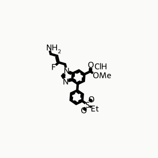 CCS(=O)(=O)c1cccc(-c2cc(C(=O)OC)cc3c2ncn3CC(F)=CCN)c1.Cl